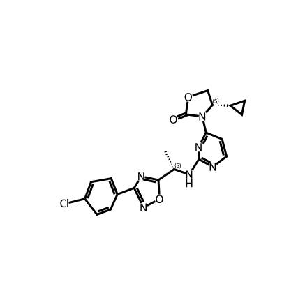 C[C@H](Nc1nccc(N2C(=O)OC[C@@H]2C2CC2)n1)c1nc(-c2ccc(Cl)cc2)no1